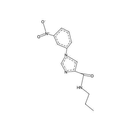 CCCNC(=O)c1cn(-c2cccc([N+](=O)[O-])c2)cn1